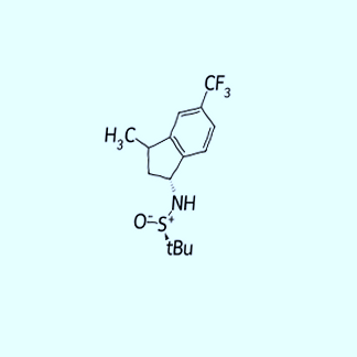 CC1C[C@@H](N[S@+]([O-])C(C)(C)C)c2ccc(C(F)(F)F)cc21